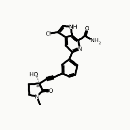 CN1CC[C@@](O)(C#Cc2cccc(-c3cc4c(Cl)c[nH]c4c(C(N)=O)n3)c2)C1=O